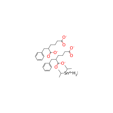 C[CH](C)[SnH2+4][CH](C)C.O=C([O-])CCCC(Cc1ccccc1)C(=O)[O-].O=C([O-])CCCC(Cc1ccccc1)C(=O)[O-]